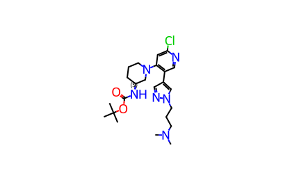 CN(C)CCCn1cc(-c2cnc(Cl)cc2N2CCC[C@H](NC(=O)OC(C)(C)C)C2)cn1